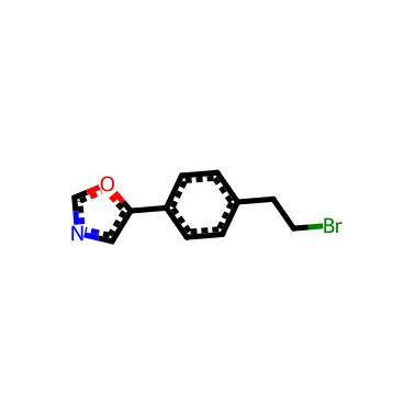 BrCCc1ccc(-c2cnco2)cc1